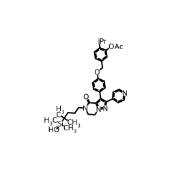 CC(=O)Oc1cc(COc2ccc(-c3c(-c4ccncc4)nn4c3C(=O)N(CCCC(C)(C)[Si](C)(C)O)CC4)cc2)ccc1C(C)C